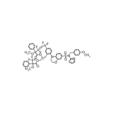 COc1ccc(CN(c2nccs2)S(=O)(=O)c2ccc3c(c2)OCCN3c2ccc(C(F)(F)F)cc2C[C@@H](COC(=O)[C@@](OC)(c2ccccc2)C(F)(F)F)OC(=O)[C@@](OC)(c2ccccc2)C(F)(F)F)cc1